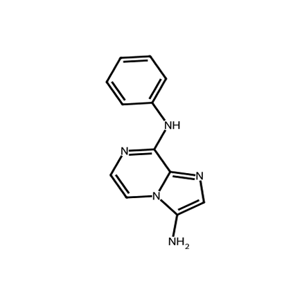 Nc1cnc2c(Nc3ccccc3)nccn12